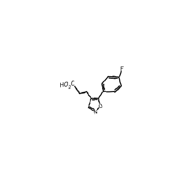 O=C(O)CCc1cnoc1-c1ccc(F)cc1